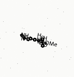 COC(=O)N[C@@H](C(=O)N1CCOC[C@H]1c1ncc(-c2ccc(-c3ccc4cc(-c5cnc([C@@H]6CCCN6)[nH]5)ccc4c3)cc2)[nH]1)c1ccccc1